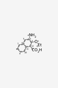 CCOc1c(N)cc2ccccc2c1C(=O)O